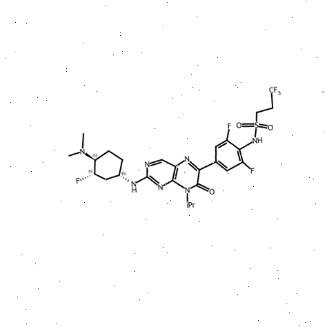 CC(C)n1c(=O)c(-c2cc(F)c(NS(=O)(=O)CCC(F)(F)F)c(F)c2)nc2cnc(N[C@H]3CC[C@H](N(C)C)[C@@H](F)C3)nc21